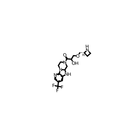 O=C(C(O)COC[C@H]1CCN1)N1CCN2c3ncc(C(F)(F)F)cc3NC2C1